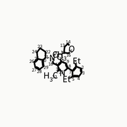 CCc1cccc(CC)c1-c1cc(O[C@@H]2CCOC2)c(CN(C)[C@H]2CCCc3ccccc32)c(C)n1